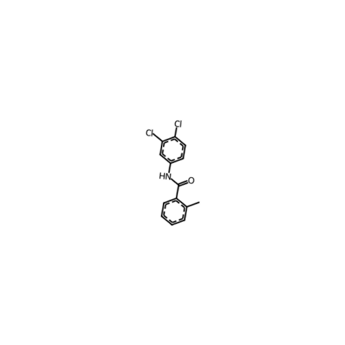 Cc1ccccc1C(=O)Nc1ccc(Cl)c(Cl)c1